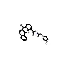 C/C(CN1CC[C@@H](O)C1)=N\C(=O)c1cccn2c(=O)c3ccc4ccccc4c3nc12